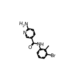 Cc1c(Br)cccc1NC(=O)c1ccc(N)nc1